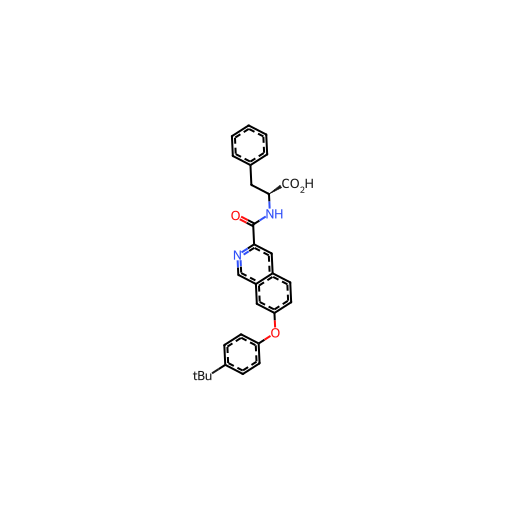 CC(C)(C)c1ccc(Oc2ccc3cc(C(=O)N[C@@H](Cc4ccccc4)C(=O)O)ncc3c2)cc1